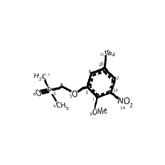 COc1c(OCP(C)(C)=O)cc(C(C)(C)C)cc1[N+](=O)[O-]